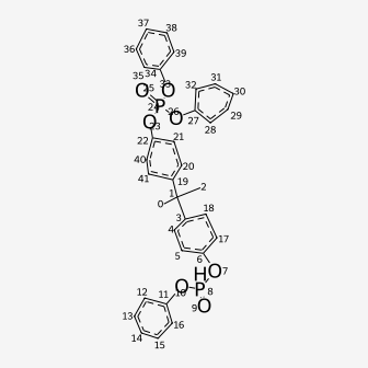 CC(C)(c1ccc(O[PH](=O)Oc2ccccc2)cc1)c1ccc(OP(=O)(Oc2ccccc2)Oc2ccccc2)cc1